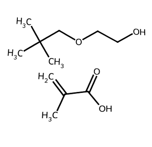 C=C(C)C(=O)O.CC(C)(C)COCCO